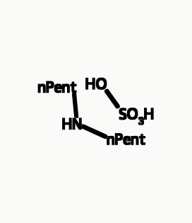 CCCCCNCCCCC.O=S(=O)(O)O